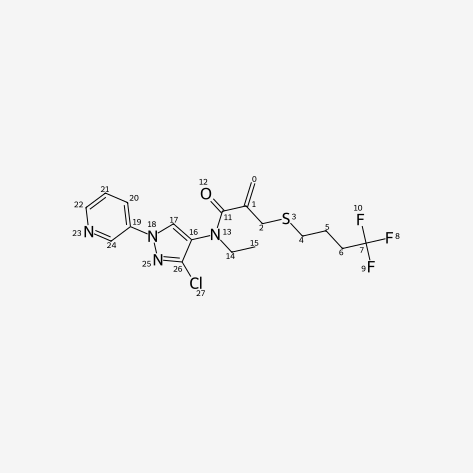 C=C(CSCCCC(F)(F)F)C(=O)N(CC)c1cn(-c2cccnc2)nc1Cl